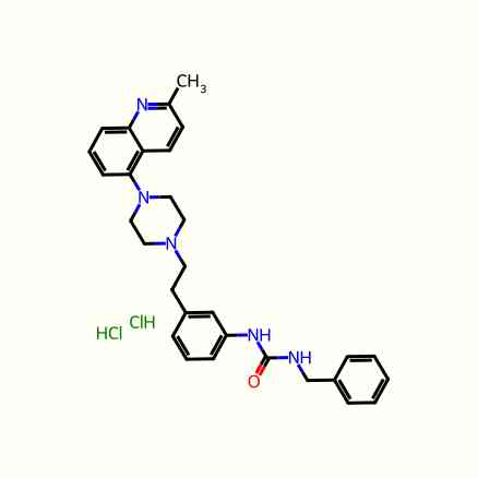 Cc1ccc2c(N3CCN(CCc4cccc(NC(=O)NCc5ccccc5)c4)CC3)cccc2n1.Cl.Cl